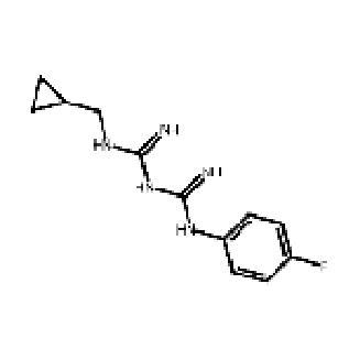 N=C(NCC1CC1)NC(=N)Nc1ccc(F)cc1